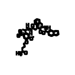 CNC(=O)CCCOc1cc([N+](=O)[O-])c(C(C)NNC(=O)CNC(=O)[C@H](Cc2ccccc2)NC(=O)c2ccc3ccccc3c2)cc1OC